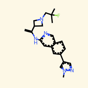 C=C(Nc1cc2cc(-c3cnn(C)c3)ccc2cn1)C1CN(CC(C)(C)F)C1